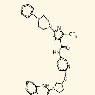 O=C(Nc1ccc(OC2CCN(C(=O)Nc3ccccc3F)C2)nc1)c1oc(N2CCC(c3ccccc3)CC2)nc1C(F)(F)F